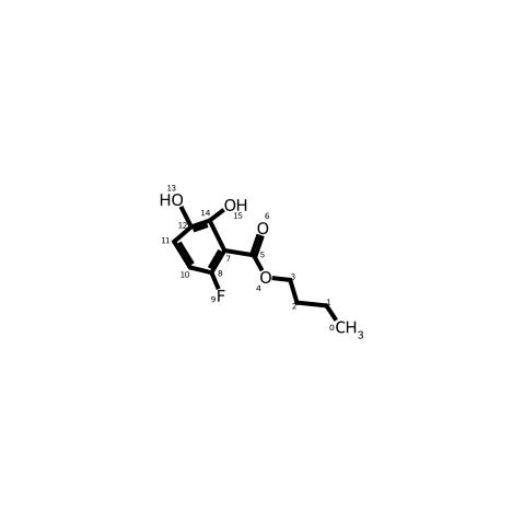 CCCCOC(=O)c1c(F)ccc(O)c1O